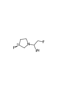 CC(C)C(CF)N1CC[C@H](F)C1